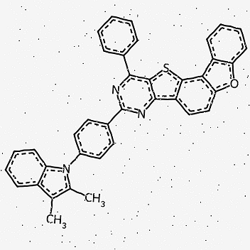 Cc1c(C)n(-c2ccc(-c3nc(-c4ccccc4)c4sc5c(ccc6oc7ccccc7c65)c4n3)cc2)c2ccccc12